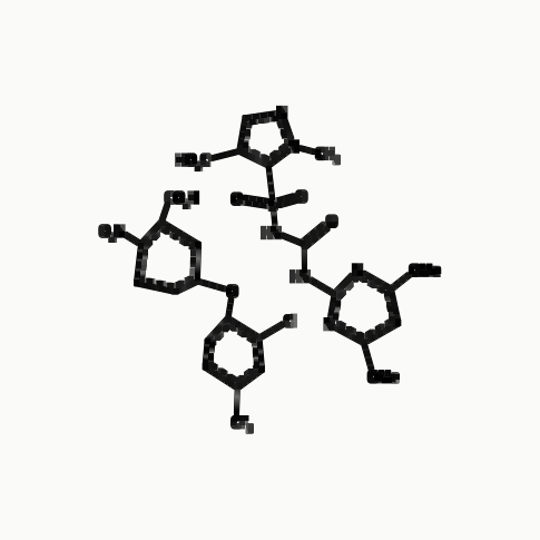 COc1cc(OC)nc(NC(=O)NS(=O)(=O)c2c(C(=O)O)cnn2C)n1.O=C(O)c1cc(Oc2ccc(C(F)(F)F)cc2Cl)ccc1[N+](=O)[O-]